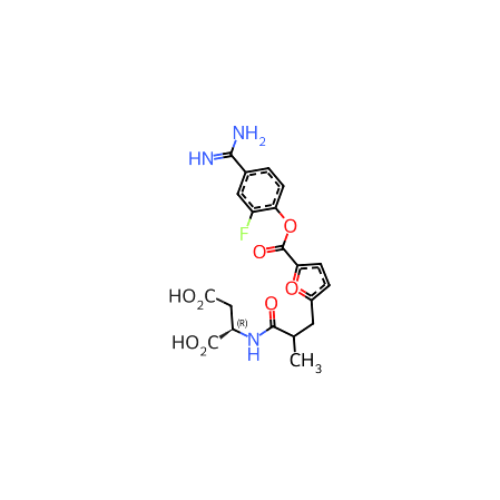 CC(Cc1ccc(C(=O)Oc2ccc(C(=N)N)cc2F)o1)C(=O)N[C@H](CC(=O)O)C(=O)O